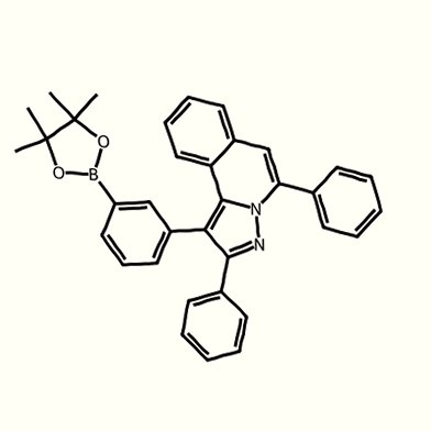 CC1(C)OB(c2cccc(-c3c(-c4ccccc4)nn4c(-c5ccccc5)cc5ccccc5c34)c2)OC1(C)C